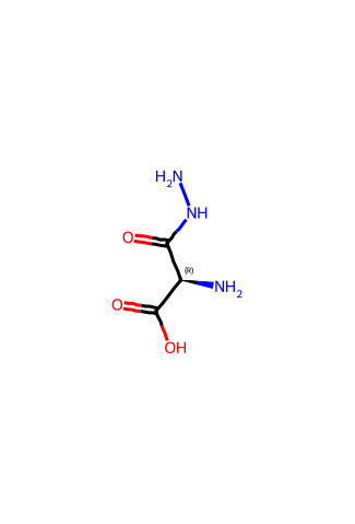 NNC(=O)[C@@H](N)C(=O)O